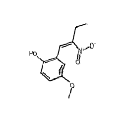 CCC(=Cc1cc(OC)ccc1O)[N+](=O)[O-]